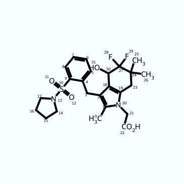 Cc1c(Cc2ccccc2S(=O)(=O)N2CCCC2)c2c(n1CC(=O)O)CC(C)(C)C(F)(F)C2O